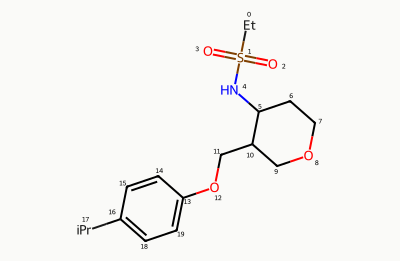 CCS(=O)(=O)NC1CCOCC1COc1ccc(C(C)C)cc1